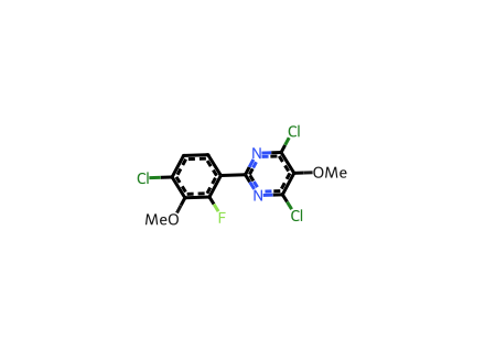 COc1c(Cl)nc(-c2ccc(Cl)c(OC)c2F)nc1Cl